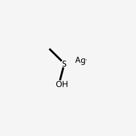 CSO.[Ag]